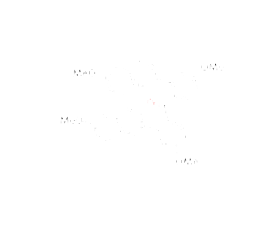 COc1ccc(C(=O)c2ccc(OC)cc2-c2ccc3cc(OC)ccc3c2)c(-c2ccc3cc(OC)ccc3c2)c1